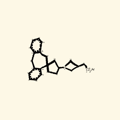 O=C(O)CC1CN(C2CCC3(Cc4ccccc4Cc4ccccc43)C2)C1